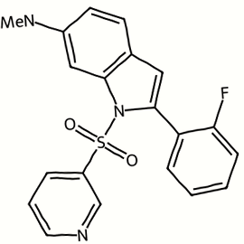 CNc1ccc2cc(-c3ccccc3F)n(S(=O)(=O)c3cccnc3)c2c1